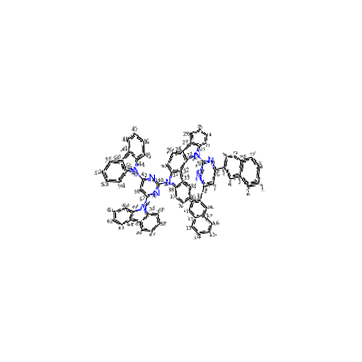 c1ccc2cc(-c3cc(-c4ccc5ccccc5c4)nc(-n4c5ccccc5c5ccc6c(c7ccccc7n6-c6nc(-n7c8ccccc8c8ccccc87)cc(-n7c8ccccc8c8ccccc87)n6)c54)n3)ccc2c1